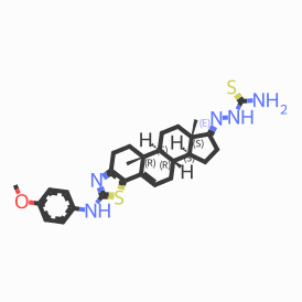 COc1ccc(Nc2nc3c(s2)C2=CC[C@@H]4[C@H](CC[C@]5(C)/C(=N/NC(N)=S)CC[C@@H]45)[C@@]2(C)CC3)cc1